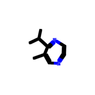 CC1=CN=C=CN=C1C(C)C